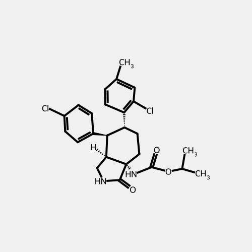 Cc1ccc([C@@H]2CC[C@@]3(NC(=O)OC(C)C)C(=O)NC[C@H]3[C@H]2c2ccc(Cl)cc2)c(Cl)c1